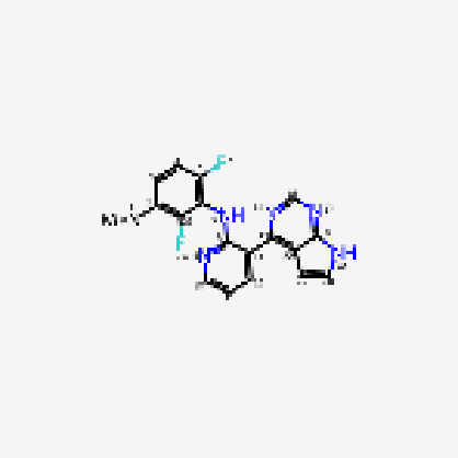 CNc1ccc(F)c(Nc2ncccc2-c2ncnc3[nH]ccc23)c1F